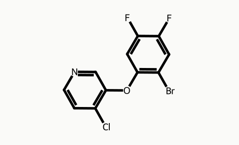 Fc1cc(Br)c(Oc2cnccc2Cl)cc1F